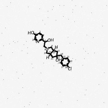 Oc1ccc(C(O)CN2C[C@@H]3CC(O)(Cc4ccc(Cl)cc4)C[C@@H]3C2)nc1